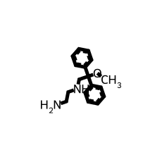 COC(CNCCN)(c1ccccc1)c1ccccc1